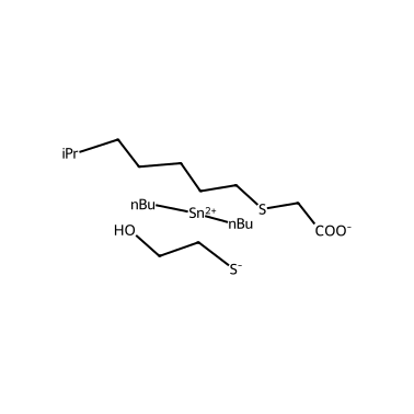 CC(C)CCCCCSCC(=O)[O-].CCC[CH2][Sn+2][CH2]CCC.OCC[S-]